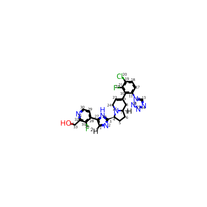 [2H]c1nc([C@@H]2CC[C@@H]3CC(c4c(-n5cnnn5)ccc(Cl)c4F)=CCN32)[nH]c1-c1ccnc(CO)c1F